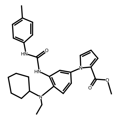 CCN(c1ccc(-n2cccc2C(=O)OC)cc1NC(=O)Nc1ccc(C)cc1)C1CCCCC1